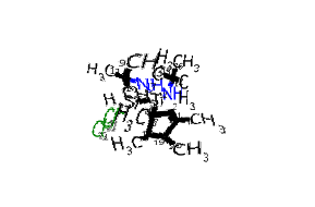 CC1=C[C](C)([Ti]([SiH3])([NH]C(C)(C)C)[NH]C(C)(C)C)C(C)=C1C.[Cl-].[Cl-]